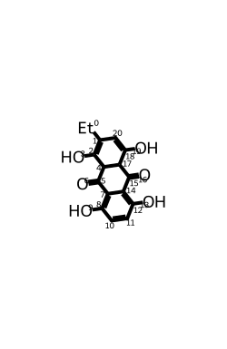 CCC1=C(O)C2C(=O)c3c(O)ccc(O)c3C(=O)C2C(O)=C1